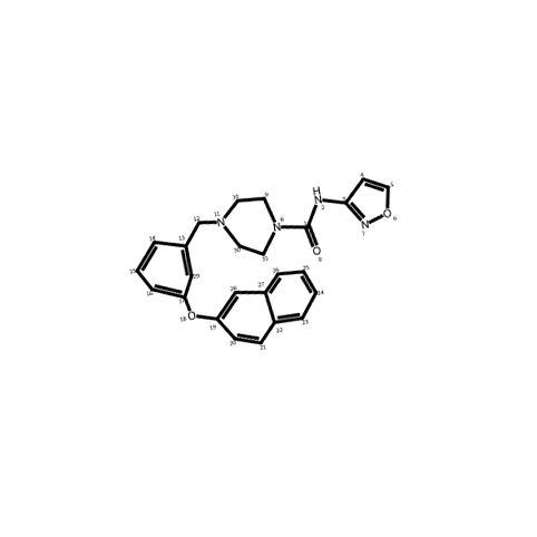 O=C(Nc1ccon1)N1CCN(Cc2cccc(Oc3ccc4ccccc4c3)c2)CC1